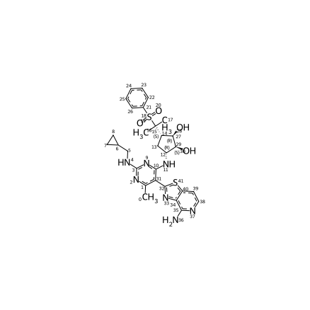 Cc1nc(NCC2CC2)nc(N[C@@H]2C[C@H](C(C)(C)S(=O)(=O)c3ccccc3)[C@@H](O)[C@H]2O)c1-c1nc2c(N)nccc2s1